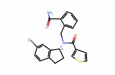 NC(=O)c1ccccc1CN(C(=O)c1ccsc1)[C@@H]1CCc2ccc(Cl)cc21